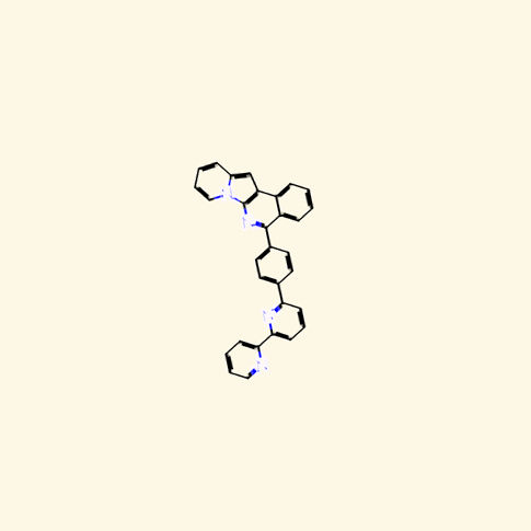 c1ccc(-c2cccc(-c3ccc(-c4nc5c(cc6ccccn65)c5ccccc45)cc3)n2)nc1